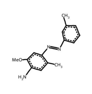 COc1cc(N=Nc2cccc(C)c2)c(C)cc1N